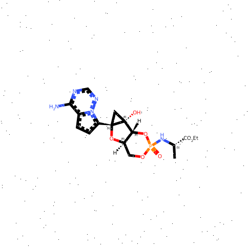 CCOC(=O)[C@H](C)NP1(=O)OC[C@H]2O[C@]3(c4ccc5c(N)ncnn45)C[C@@]3(O)[C@@H]2O1